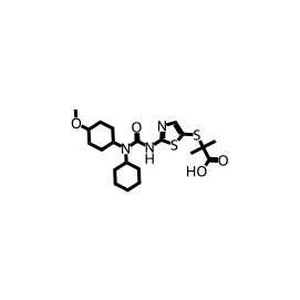 COC1CCC(N(C(=O)Nc2ncc(SC(C)(C)C(=O)O)s2)C2CCCCC2)CC1